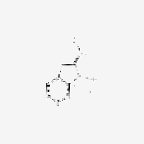 Cl.NC1C(=NO)Cc2ccccc21